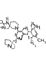 Cc1cc2[nH]ncc2c(-c2ncc3c(N4CCCC5(CNC(=O)N5)C4)nc(OCC45CCCN4CCC5)nc3c2F)c1C